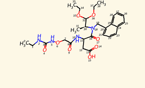 CCNC(=O)NOCC(=O)NC(CC(=O)O)C(=O)N(Cc1cccc2ccccc12)[C@@H](C)C(OCC)OCC